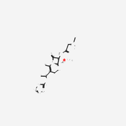 CO[C@@]1(NC(=O)C[S+](C)[O-])C(=O)N2C(C(=O)O)=C(C(C)Sc3nnn[nH]3)CS[C@H]21